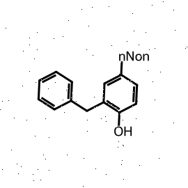 CCCCCCCCCc1ccc(O)c(Cc2ccccc2)c1